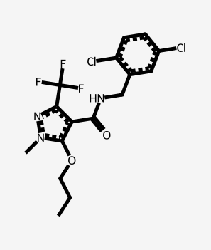 CCCOc1c(C(=O)NCc2cc(Cl)ccc2Cl)c(C(F)(F)F)nn1C